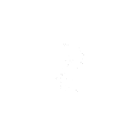 COc1cnc2[nH]cc(C(C)(C)C(=O)N3C4CC5(C)CC3CC(C#N)(C4)C5)c2c1F